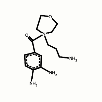 NCCC[N+]1(C(=O)c2ccc(N)c(N)c2)CCOCC1